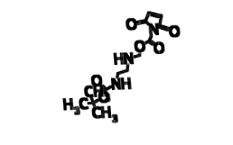 CC(C)(C)OC(=O)NCCNCOC(=O)N1C(=O)C=CC1=O